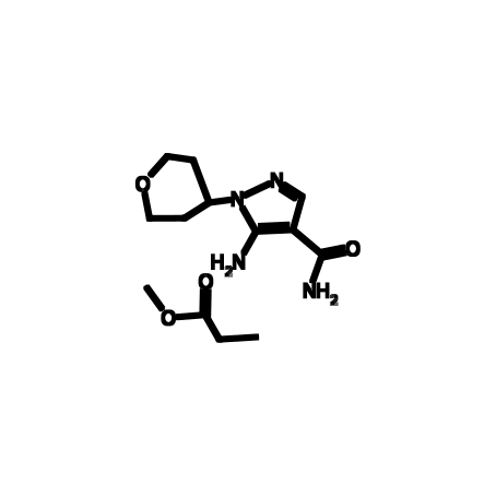 CCC(=O)OC.NC(=O)c1cnn(C2CCOCC2)c1N